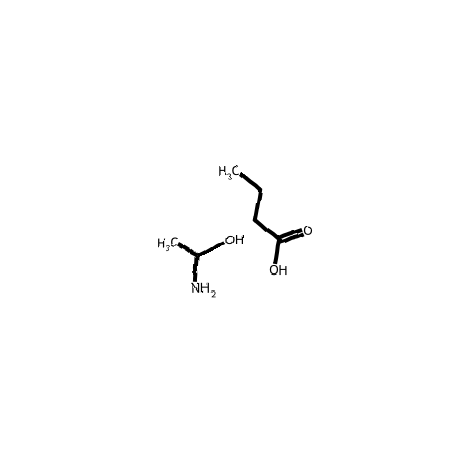 CC(N)O.CCCC(=O)O